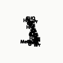 C=C(CN(CCC)C(=O)CNC=O)N/C(=C\C)c1ccc2c(c1)COCc1cc(-c3cnc(CN(CCC)C(=O)CNC(=O)OC)[nH]3)ccc1-2